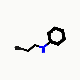 CC(C)(C)CCNc1ccccc1